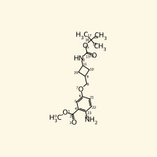 COC(=O)c1cc(OCC2CC(NC(=O)OC(C)(C)C)C2)ccc1N